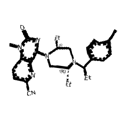 CCC(c1ccc(C)cc1)N1C[C@H](CC)N(c2nc(=O)n(C)c3ccc(C#N)nc23)C[C@H]1CC